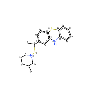 CC1CCCN(SC(C)c2ccc3c(c2)Nc2ccccc2S3)C1